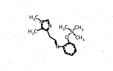 Cc1c(CC=Nc2ccccc2O[Si](C)(C)C)ncn1C